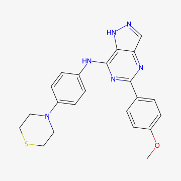 COc1ccc(-c2nc(Nc3ccc(N4CCSCC4)cc3)c3[nH]ncc3n2)cc1